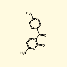 Cc1ccc(C(=O)n2ccc(N)nc2=O)cc1